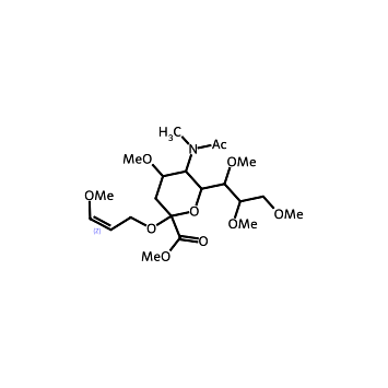 CO/C=C\COC1(C(=O)OC)CC(OC)C(N(C)C(C)=O)C(C(OC)C(COC)OC)O1